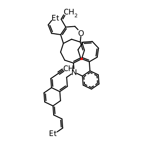 C#C/C=C1C=C/C(=C/C=C\CC)CC/1=C/CN(/C1=C/C=C2\CC(CC1)C(/C=C\CC)=C(C=C)CO2)c1ccccc1C1=CCC=CC=C1